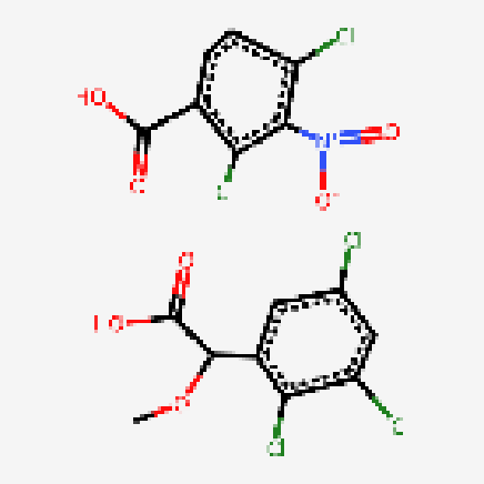 COC(C(=O)O)c1cc(Cl)cc(Cl)c1Cl.O=C(O)c1ccc(Cl)c([N+](=O)[O-])c1Cl